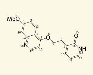 COc1ccc2c(OCCc3ccc[nH]c3=O)ccnc2c1